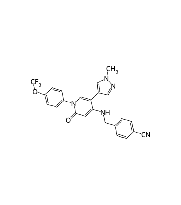 Cn1cc(-c2cn(-c3ccc(OC(F)(F)F)cc3)c(=O)cc2NCc2ccc(C#N)cc2)cn1